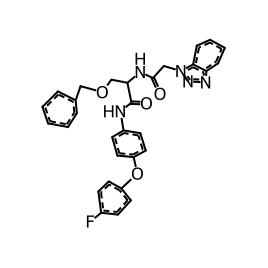 O=C(Cn1nnc2ccccc21)NC(COCc1ccccc1)C(=O)Nc1ccc(Oc2ccc(F)cc2)cc1